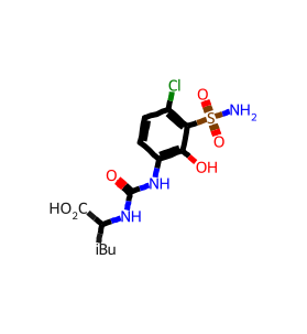 CCC(C)C(NC(=O)Nc1ccc(Cl)c(S(N)(=O)=O)c1O)C(=O)O